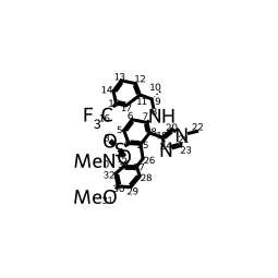 CNS(=O)(=O)c1ccc(N[C@@H](C)c2cccc(C(F)(F)F)c2)c(-c2cn(C)cn2)c1Cc1ccc(OC)cc1